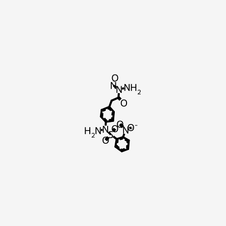 NN(N=O)C(=O)Cc1ccc(N(N)S(=O)(=O)c2ccccc2[N+](=O)[O-])cc1